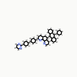 c1ccc(-c2c3ccccc3c(-c3cc4ccc(-c5ccc(-c6ccc(-c7ncccn7)cc6)cc5)nc4c4ncccc34)c3ccccc23)cc1